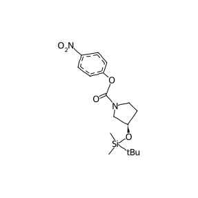 CC(C)(C)[Si](C)(C)O[C@@H]1CCN(C(=O)Oc2ccc([N+](=O)[O-])cc2)C1